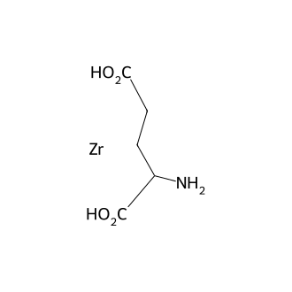 NC(CCC(=O)O)C(=O)O.[Zr]